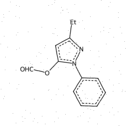 CCc1cc(OC=O)n(-c2ccccc2)n1